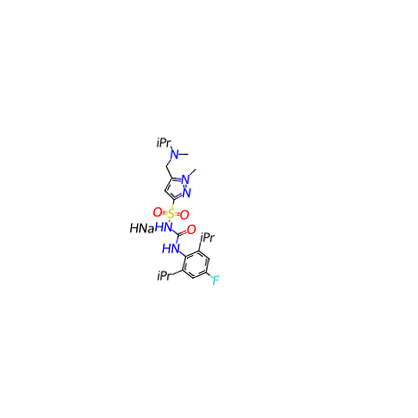 CC(C)c1cc(F)cc(C(C)C)c1NC(=O)NS(=O)(=O)c1cc(CN(C)C(C)C)n(C)n1.[NaH]